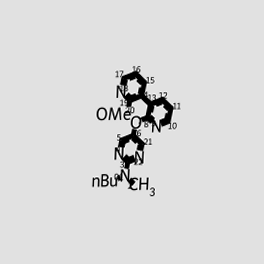 CCCCN(C)c1ncc(Oc2ncccc2-c2cccnc2OC)cn1